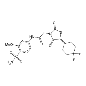 COc1cc(NC(=O)CN2C(=O)SC(=C3CCC(F)(F)CC3)C2=O)ccc1S(N)(=O)=O